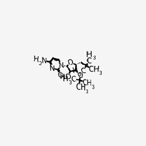 CC(C)(C)C[C@H]1O[C@@H](n2ccc(N)nc2=O)C(O)C1OC(C)(C)C